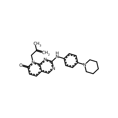 C=C(C)Cn1c(=O)ccc2cnc(Nc3ccc(N4CCCCC4)cc3)nc21